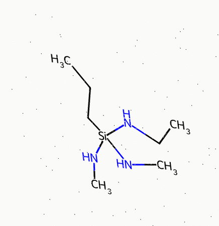 CCC[Si](NC)(NC)NCC